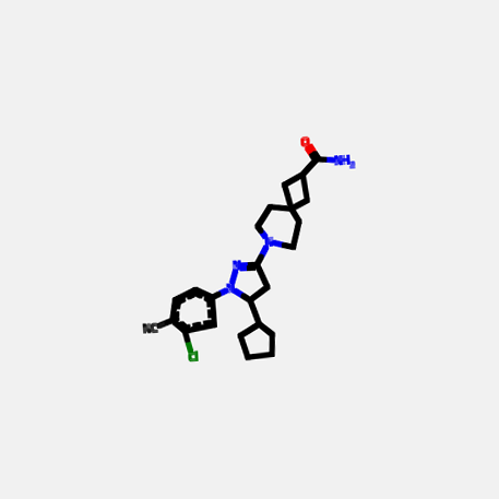 N#Cc1ccc(N2N=C(N3CCC4(CC3)CC(C(N)=O)C4)CC2C2CCCC2)cc1Cl